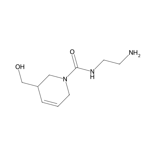 NCCNC(=O)N1CC=CC(CO)C1